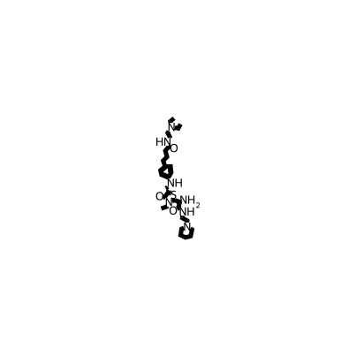 CCN(CC)CCNC(=O)CCCc1ccc(NC[C@H]2SC([C@H](N)C(=O)NCCN3CCCCC3)N(CC)C2=O)cc1